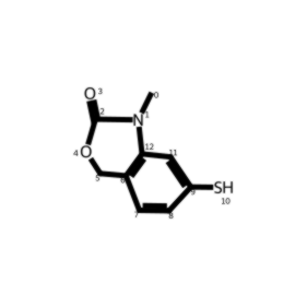 CN1C(=O)OCc2ccc(S)cc21